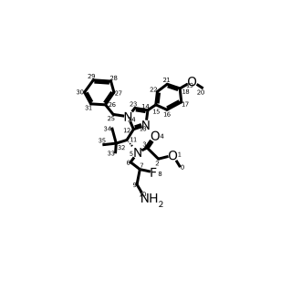 COCC(=O)N(CC(F)CN)[C@@H](c1nc(-c2ccc(OC)cc2)cn1Cc1ccccc1)C(C)(C)C